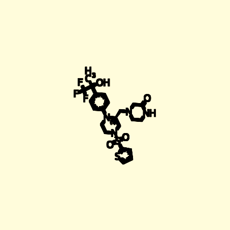 C[C@@](O)(c1ccc(N2CCN(S(=O)(=O)c3cccs3)C[C@@H]2CN2CCNC(=O)C2)cc1)C(F)(F)F